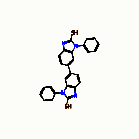 Sc1nc2ccc(-c3ccc4nc(S)n(-c5ccccc5)c4c3)cc2n1-c1ccccc1